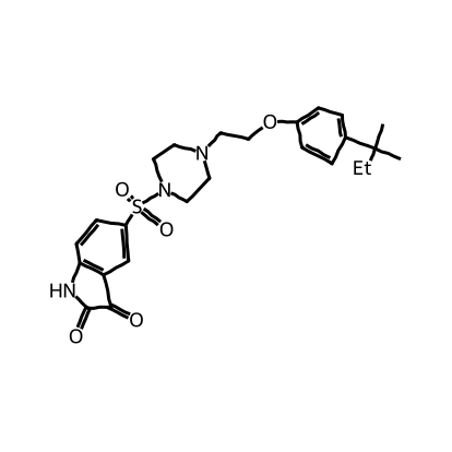 CCC(C)(C)c1ccc(OCCN2CCN(S(=O)(=O)c3ccc4c(c3)C(=O)C(=O)N4)CC2)cc1